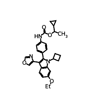 CCOc1ccc2c(-c3cocn3)c(-c3ccc(NC(=O)OC(C)C4CC4)cc3)n(C3CCC3)c2c1